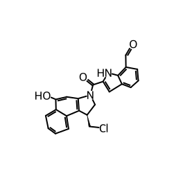 O=Cc1cccc2cc(C(=O)N3C[C@@H](CCl)c4c3cc(O)c3ccccc43)[nH]c12